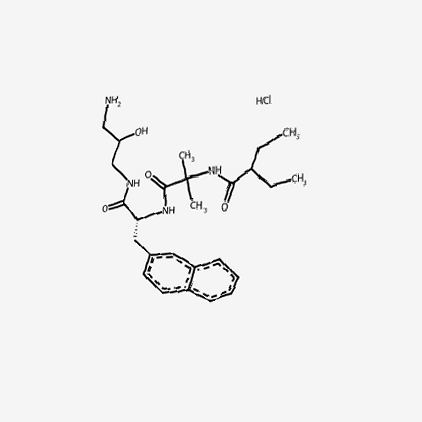 CCC(CC)C(=O)NC(C)(C)C(=O)N[C@H](Cc1ccc2ccccc2c1)C(=O)NCC(O)CN.Cl